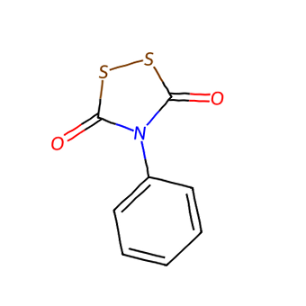 O=c1ssc(=O)n1-c1ccccc1